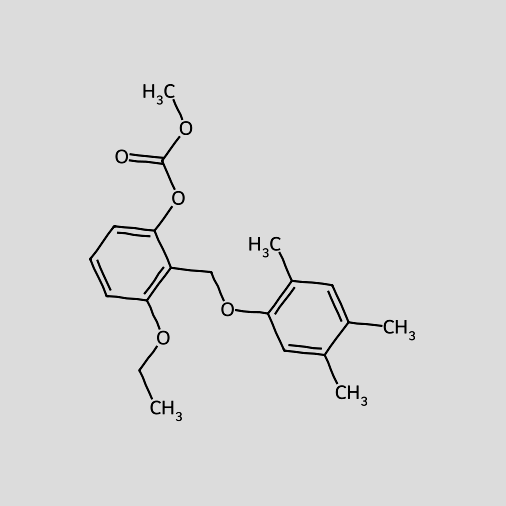 CCOc1cccc(OC(=O)OC)c1COc1cc(C)c(C)cc1C